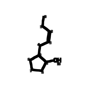 CC/C=C\CC1CCCC1O